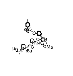 COC(=O)CC(NC(=O)C1CCCN(C(=O)CCC2CCCN(C(=O)O)C2C(C)(C)C)C1)c1cncc(-c2cccc(OCCOS(=O)(=O)c3ccc(C)cc3)c2)c1